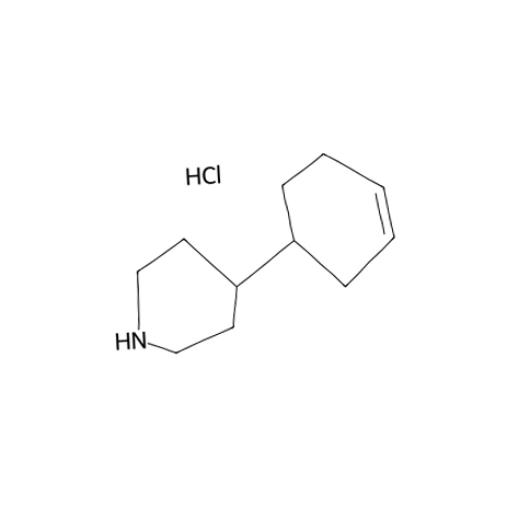 C1=CCC(C2CCNCC2)CC1.Cl